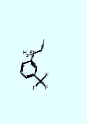 FC(F)(F)c1cccc([SiH2]CI)c1